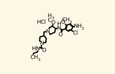 CCCNC(=O)N1CCC(CN2CCC(NC(=O)c3cc(Cl)c(N)cc3OC)C(OC)C2)CC1.Cl